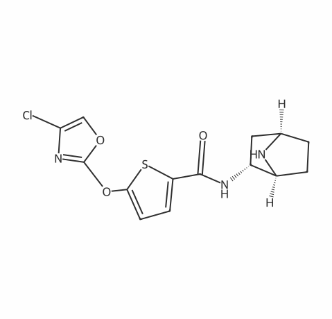 O=C(N[C@@H]1C[C@H]2CC[C@@H]1N2)c1ccc(Oc2nc(Cl)co2)s1